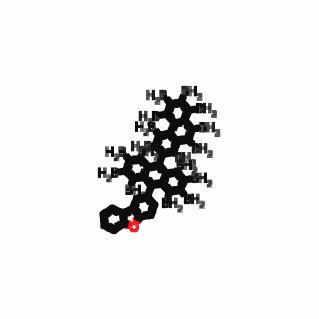 Bc1c(B)c(B)c2c(-c3c(B)c(B)c4c(c3B)c(B)c(B)c3c(B)c(B)c(B)c(B)c34)c3c(B)c(B)c(B)c(B)c3c(-c3ccc4oc5ccccc5c4c3)c2c1B